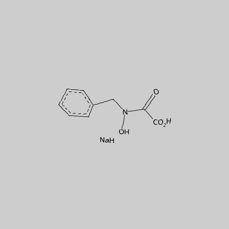 O=C(O)C(=O)N(O)Cc1ccccc1.[NaH]